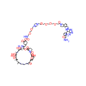 CO[C@H]1C[C@@H]2CC[C@@H](C)[C@@](O)(O2)C(=O)C(=O)N2CCCC[C@H]2C(=O)O[C@H]([C@H](N)C[C@@H]2CC[C@@H](OC(=O)NCCOCCOCCN3CCN(CCOCCOCCOCCOCCC(=O)N4CCc5cc(Cn6nc(-c7ccc8oc(N)cc8c7)c7c(N)ncnc76)ccc5C4)CC3)[C@H](OC)C2)C[C@@H](O)[C@H](C)/C=C(\C)[C@@H](O)[C@@H](O)C(=O)[C@H](C)C[C@H](C)/C=C/C=C/C=C/1C